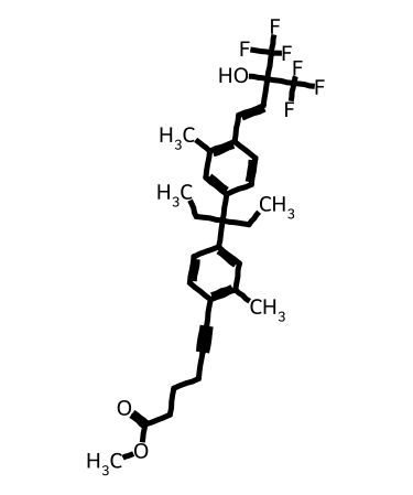 CCC(CC)(c1ccc(C#CCCCC(=O)OC)c(C)c1)c1ccc(C=CC(O)(C(F)(F)F)C(F)(F)F)c(C)c1